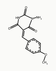 COc1ccc(/C=C2/C(=O)NC(=O)N(N)C2=O)cc1